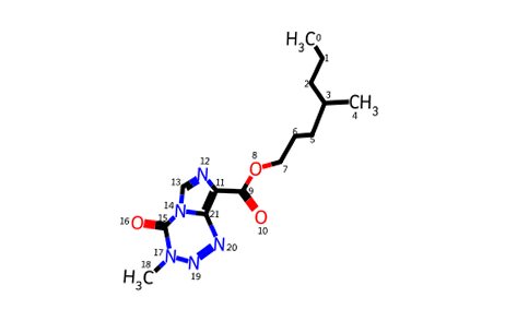 CCCC(C)CCCOC(=O)c1ncn2c(=O)n(C)nnc12